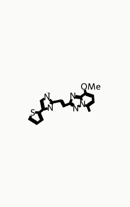 COc1ccc(C)n2nc(/C=C/c3nc(-c4cccs4)cn3C)nc12